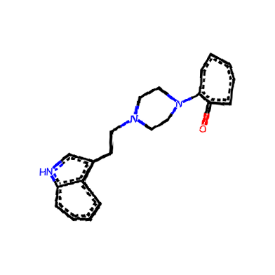 O=c1cccccc1N1CCN(CCc2c[nH]c3ccccc23)CC1